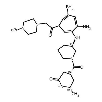 BC1=CC(C(=O)CN2CCN(CCC)CC2)C=C(N[C@@H]2CCCN(C(=O)[C@H]3CC(=O)N[C@@H](C)C3)C2)C(N)=C1